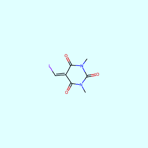 CN1C(=O)C(=CI)C(=O)N(C)C1=O